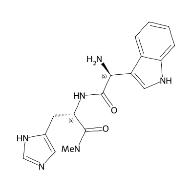 CNC(=O)[C@H](Cc1cnc[nH]1)NC(=O)[C@@H](N)c1c[nH]c2ccccc12